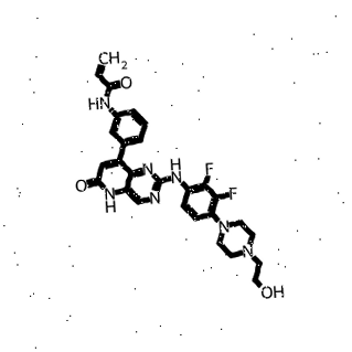 C=CC(=O)Nc1cccc(-c2cc(=O)[nH]c3cnc(Nc4ccc(N5CCN(CCO)CC5)c(F)c4F)nc23)c1